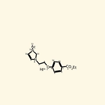 CCOC(=O)c1ccc(OCCN2C=CN(C(C)=O)C2)cc1.I